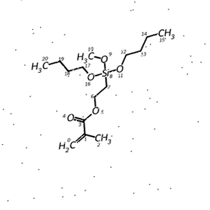 C=C(C)C(=O)OCC[Si](OC)(OCCCC)OCCCC